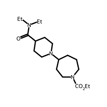 CCOC(=O)N1CCCC(N2CCC(C(=O)N(CC)CC)CC2)CC1